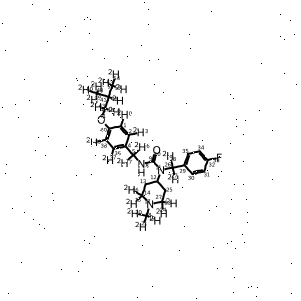 [2H]c1c([2H])c(C([2H])([2H])NC(=O)N(C2CC([2H])([2H])N(C([2H])([2H])[2H])C([2H])([2H])C2)C([2H])([2H])c2ccc(F)cc2)c([2H])c([2H])c1OC([2H])([2H])C([2H])(C([2H])([2H])[2H])C([2H])([2H])[2H]